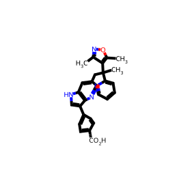 Cc1noc(C)c1C(C)(Cc1cnc2c(-c3ccc(C(=O)O)cc3)c[nH]c2c1)c1ccccn1